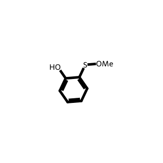 COSc1ccccc1O